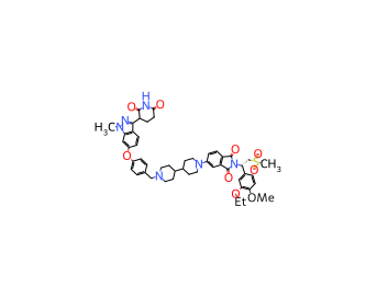 CCOc1cc([C@@H](CS(C)(=O)=O)N2C(=O)c3ccc(N4CCC(C5CCN(Cc6ccc(Oc7ccc8c(C9CCC(=O)NC9=O)nn(C)c8c7)cc6)CC5)CC4)cc3C2=O)ccc1OC